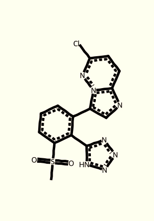 CS(=O)(=O)c1cccc(-c2cnc3ccc(Cl)nn23)c1-c1nnn[nH]1